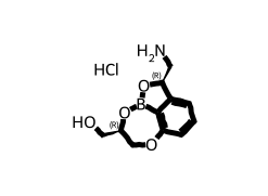 Cl.NC[C@@H]1OB2O[C@H](CO)COc3cccc1c32